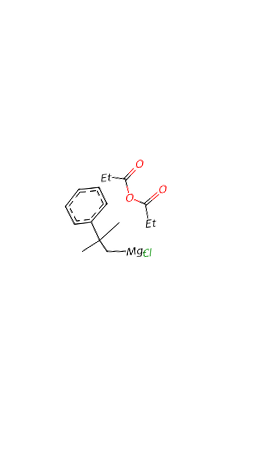 CC(C)([CH2][Mg][Cl])c1ccccc1.CCC(=O)OC(=O)CC